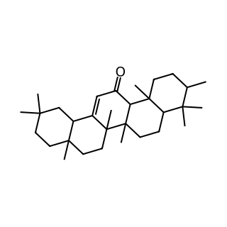 CC1CCC2(C)C(CCC3(C)C2C(=O)C=C2C4CC(C)(C)CCC4(C)CCC23C)C1(C)C